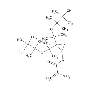 C=C(C)C(=O)OC1CC1(C(C)(C)OC(C)(C)C(C)(O)C(F)(F)F)C(C)(C)OC(C)(C)C(O)(C(F)(F)F)C(F)(F)F